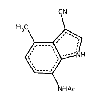 CC(=O)Nc1ccc(C)c2c(C#N)c[nH]c12